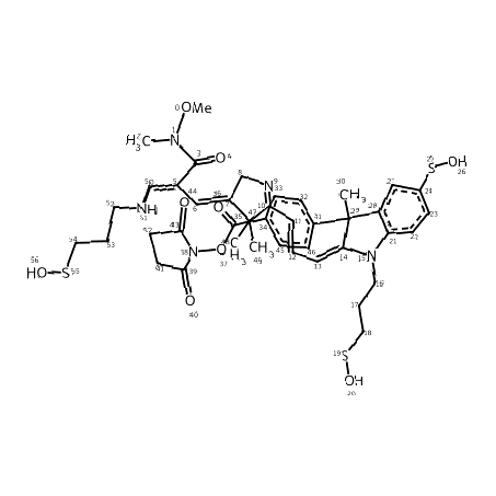 CON(C)C(=O)C(/C=C1\CN=C(/C=C/C=C2/N(CCCSO)c3ccc(SO)cc3C2(C)c2ccc(C(=O)ON3C(=O)CCC3=O)cc2)C1(C)C)=C/NCCCSO